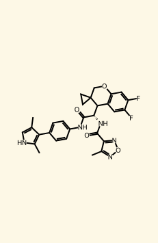 Cc1c[nH]c(C)c1-c1ccc(NC(=O)[C@@H](NC(=O)c2nonc2C)C2c3cc(F)c(F)cc3OCC23CC3)cc1